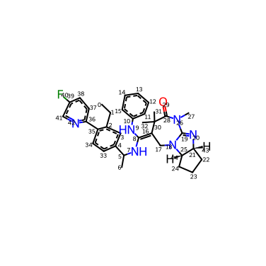 CCc1cc(C(C)N/C(Nc2ccccc2)=C2\CN3C(=N[C@@H]4CCC[C@@H]43)N(C)C(=O)C2(C)C)ccc1-c1ccc(F)cn1